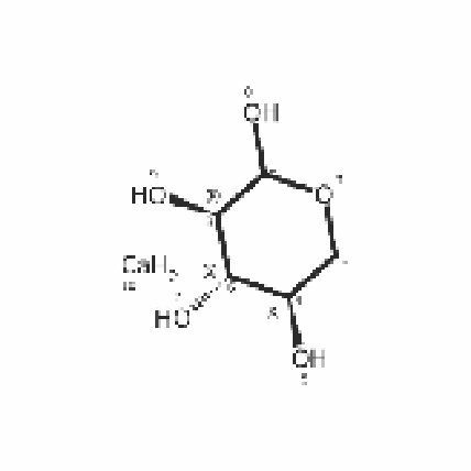 OC1OC[C@@H](O)[C@H](O)[C@H]1O.[CaH2]